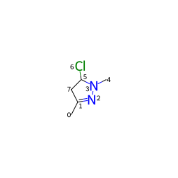 CC1=NN(C)C(Cl)C1